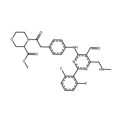 CNCc1nc(-c2c(F)cccc2F)nc(Nc2ccc(CC(=O)N3CCOCC3C(=O)OC)cc2)c1C=O